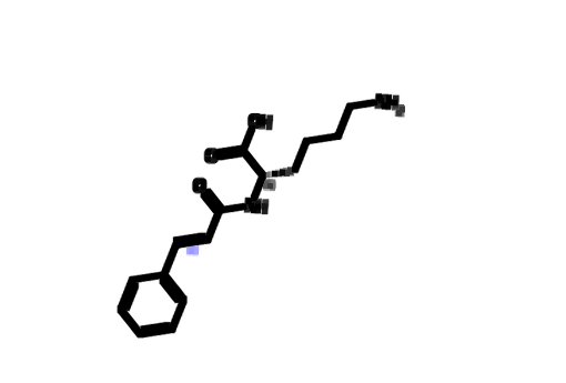 NCCCC[C@H](NC(=O)/C=C/c1ccccc1)C(=O)O